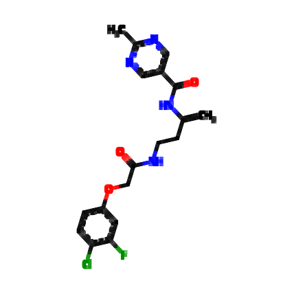 C=C(CCNC(=O)COc1ccc(Cl)c(F)c1)NC(=O)c1cnc(C)nc1